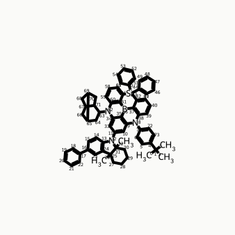 CC(C)(C)c1ccc(N2c3cc(N4c5ccc(-c6ccccc6)cc5C5(C)CCCCC45C)cc4c3B3c5c2cccc5[Si](c2ccccc2)(c2ccccc2)c2cccc(c23)N4C2CC3CC4CC3CC42)cc1